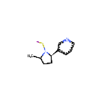 CC1CC[C@H](c2cccnc2)N1SI